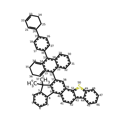 CC1(C)c2ccccc2-c2c1c(-c1c3c(c(-c4ccc(C5=CC=CCC5)cc4)c4ccccc14)=CCCC=3)cc1c2ccc2c3ccccc3sc12